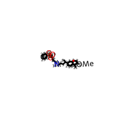 COc1ccc2cc(C(C)CCCN(C)CCCOS(=O)(=O)c3ccccc3)ccc2c1C